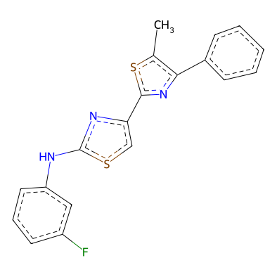 Cc1sc(-c2csc(Nc3cccc(F)c3)n2)nc1-c1ccccc1